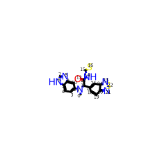 CN(c1ccc2[nH]cnc2c1)C(C(=O)NC=S)c1ccc2nsnc2c1